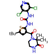 CC(C)(C)c1cc(C(=O)N2CCNC(=O)C2(C)C)c(NC(=O)Nc2c(Cl)cncc2Cl)s1